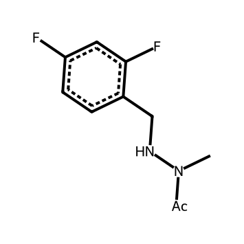 CC(=O)N(C)NCc1ccc(F)cc1F